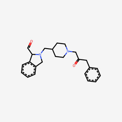 O=CC1c2ccccc2CN1CC1CCN(CC(=O)Cc2ccccc2)CC1